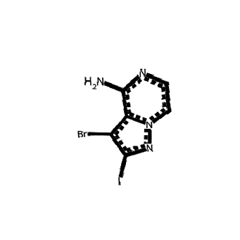 Nc1nccn2nc(I)c(Br)c12